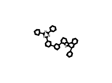 c1ccc(-c2nc(-c3ccccc3)nc(-c3cccc(-c4cccc(-c5cccc6c5sc5c(-c7ccccc7)cc7ccccc7c56)c4)c3)n2)cc1